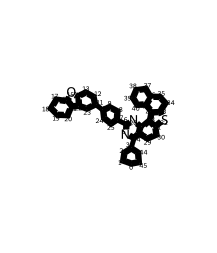 c1ccc(-c2nc(-c3ccc(-c4ccc5oc6ccccc6c5c4)cc3)nc3c2ccc2sc4ccc5ccccc5c4c23)cc1